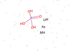 O=P(O)(O)O.[Fe].[LiH].[Mo]